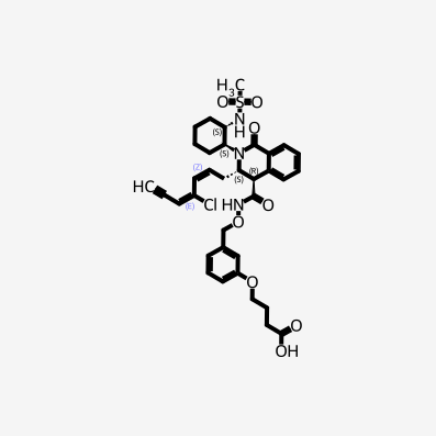 C#C/C=C(Cl)\C=C/C[C@H]1[C@H](C(=O)NOCc2cccc(OCCCC(=O)O)c2)c2ccccc2C(=O)N1[C@H]1CCCC[C@@H]1NS(C)(=O)=O